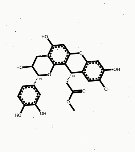 COC(=O)C[C@H]1c2cc(O)c(O)cc2Oc2cc(O)c3c(c21)O[C@H](c1ccc(O)c(O)c1)C(O)C3